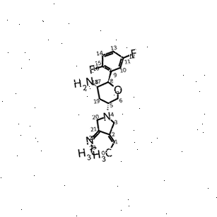 C/C=C1/CN([C@H]2CO[C@H](c3cc(F)ccc3F)[C@@H](N)C2)C/C1=N/C